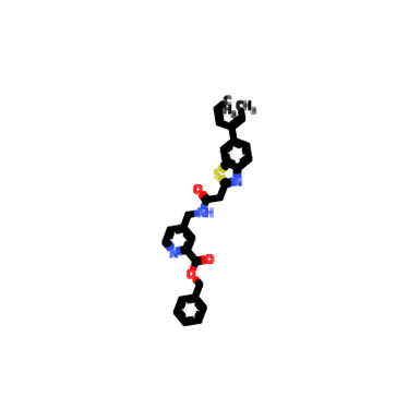 C/C=C\C(=C/C)c1ccc2nc(CC(=O)NCc3ccnc(C(=O)OCc4ccccc4)c3)sc2c1